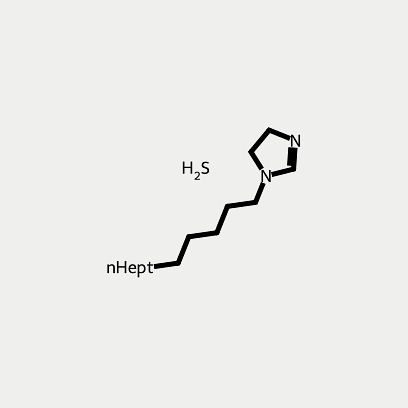 CCCCCCCCCCCCN1C=NCC1.S